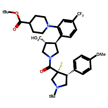 COc1ccc([C@@H]2CN(C(C)(C)C)C[C@@]2(F)C(=O)N2C[C@H](C(=O)O)[C@@H](c3ccc(C(F)(F)F)cc3N3CCC(C(=O)OC(C)(C)C)CC3)C2)cc1